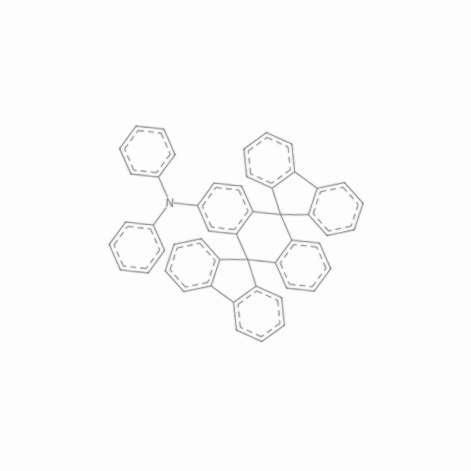 c1ccc(N(c2ccccc2)c2ccc3c(c2)C2(c4ccccc4-c4ccccc42)c2ccccc2C32c3ccccc3-c3ccccc32)cc1